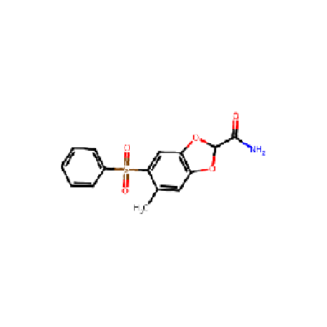 Cc1cc2c(cc1S(=O)(=O)c1ccccc1)OC(C(N)=O)O2